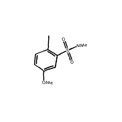 CNS(=O)(=O)c1cc(OC)ccc1C